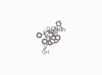 COc1ccc(/C2=C\c3ccc4c(c3)[C@]3(C(=O)N4C(=O)N[C@@H](C)C4C=CC=CC4)[C@H](c4cc(OCCO)cc2c4)N2[C@H](c4ccccc4)[C@H](c4ccccc4)OC(=O)[C@H]2[C@@H]3C(=O)O)cc1